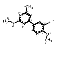 COc1ncc(-c2cc(C)nc(SC)n2)cc1F